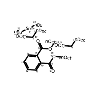 CCCCCCCCCCCC(=O)[O-].CCCCCCCCCCCC(=O)[O-].CCCCCCCCOC(=O)c1ccccc1C(=O)OCCCCCCCC.CCC[CH2][Sn+2][CH2]CCC